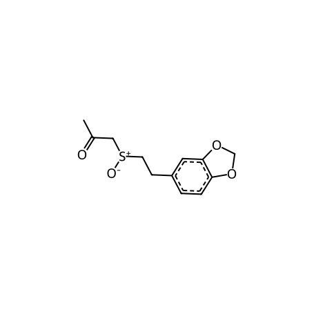 CC(=O)C[S+]([O-])CCc1ccc2c(c1)OCO2